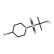 CC(=O)C1CCN(S(=O)(=O)C(C)(C)N)CC1